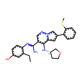 CCc1cc(O)ccc1/N=C(\N)c1cnn2cc(-c3ccccc3SC)cc2c1N[C@H]1CCOC1